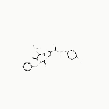 COc1ccc(CNC(=O)c2cn3c(=O)n(Cc4ccccc4)c(=O)c(S(C)(=O)=O)c3s2)cc1